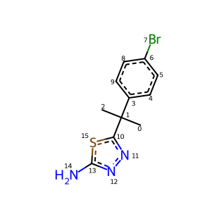 CC(C)(c1ccc(Br)cc1)c1nnc(N)s1